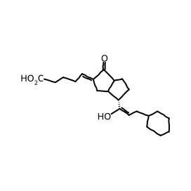 O=C(O)CCC/C=C1\CC2C(CC[C@@H]2/C(O)=C\CC2CCCCC2)C1=O